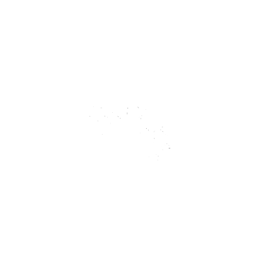 O=C(NCC1(CO)CCCC1)C1CCN(c2ncnc3[nH]ccc23)CC12CC2